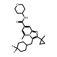 Cc1cc(C(=O)NC2CCOCC2)cc2nc(C3(C)CC3)c(CC3CCC(F)(F)CC3)n12